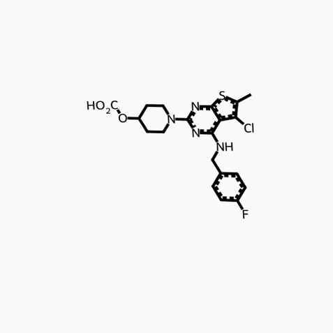 Cc1sc2nc(N3CCC(OC(=O)O)CC3)nc(NCc3ccc(F)cc3)c2c1Cl